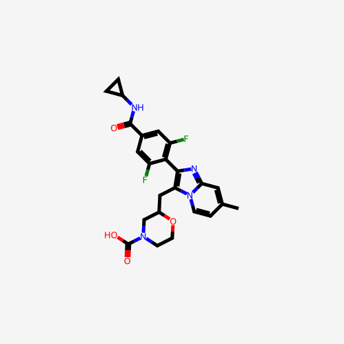 Cc1ccn2c(CC3CN(C(=O)O)CCO3)c(-c3c(F)cc(C(=O)NC4CC4)cc3F)nc2c1